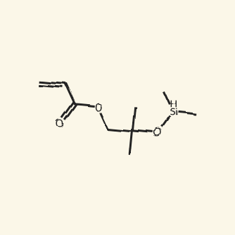 C=CC(=O)OCC(C)(C)O[SiH](C)C